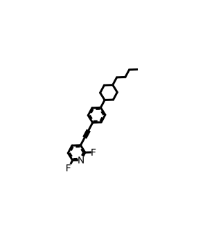 CCCCC1CCC(c2ccc(C#Cc3ccc(F)nc3F)cc2)CC1